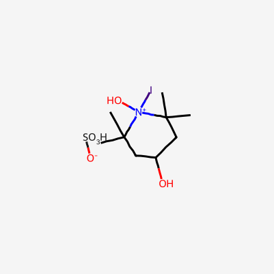 CC1(C)CC(O)CC(C)(C)[N+]1(O)I.O=S(=O)([O-])O